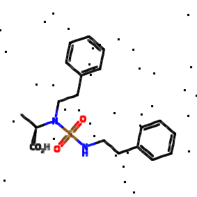 C[C@H](C(=O)O)N(CCc1ccccc1)S(=O)(=O)NCCc1ccccc1